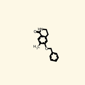 Cc1cc2c(cc1OCc1ccccc1)CCNC2=O